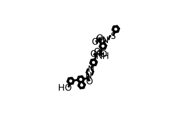 O=C(NS(=O)(=O)c1ccc(NCCSc2ccccc2)c([N+](=O)[O-])c1)c1ccc(N2CCN(C(=O)c3ccc(-c4cccc(O)c4)c4ccccc34)CC2)cc1